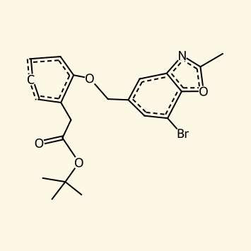 Cc1nc2cc(COc3ccccc3CC(=O)OC(C)(C)C)cc(Br)c2o1